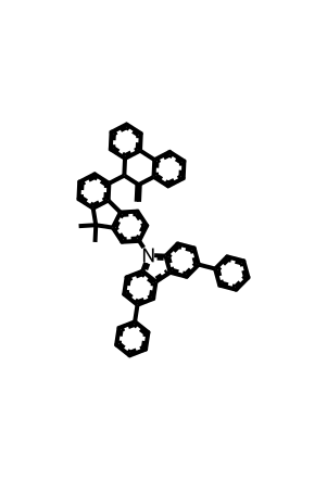 C=C1c2ccccc2-c2ccccc2C1c1cccc2c1-c1ccc(-n3c4ccc(-c5ccccc5)cc4c4cc(-c5ccccc5)ccc43)cc1C2(C)C